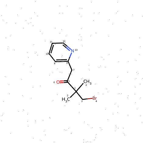 CC(C)(CBr)C(=O)Cc1ccccn1